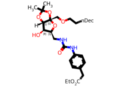 CCCCCCCCCCCCOC[C@@]12O[C@@H](CNC(=O)Nc3ccc(CC(=O)OCC)cc3)[C@@H](O)[C@@H]1OC(C)(C)O2